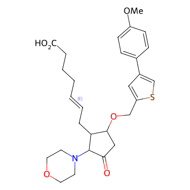 COc1ccc(-c2csc(COC3CC(=O)C(N4CCOCC4)C3C/C=C/CCCC(=O)O)c2)cc1